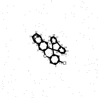 Clc1ccc2c(c1)C1(c3cc4c5ccc(o5)c4cc3O2)c2ccccc2-c2ccccc21